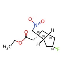 CCOC(=O)C[C@]1(C[N+](=O)[O-])C[C@@H]2C[C@@H](F)C[C@@H]21